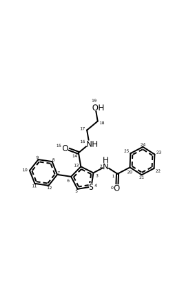 O=C(Nc1scc(-c2ccccc2)c1C(=O)NCCO)c1ccccc1